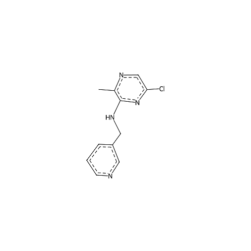 Cc1ncc(Cl)nc1NCc1cccnc1